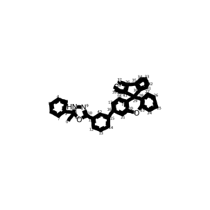 CC1(c2ccccc2)NN=C(c2cccc(-c3ccc4c(c3)Oc3ccccc3C43c4ccccc4-c4ccccc43)c2)O1